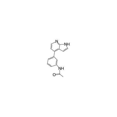 CC(=O)Nc1cccc(-c2ccnc3[nH]ccc23)c1